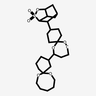 O=S1(=O)OC2CC3CC2C1C3C1CCC2(CC1)OCCCC(C1CCCC3(C1)OCCCCCO3)O2